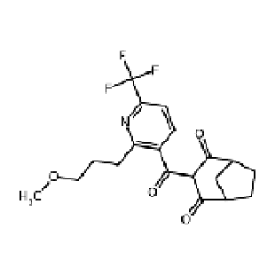 COCCCc1nc(C(F)(F)F)ccc1C(=O)C1C(=O)C2CCC(C2)C1=O